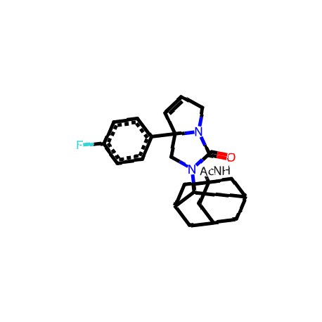 CC(=O)NC12CC3CC(C1)C(N1CC4(c5ccc(F)cc5)C=CCN4C1=O)C(C3)C2